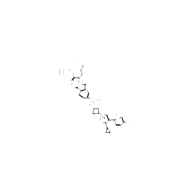 NC(=O)C(CCC=O)N1C(=O)c2ccc(NC[C@H]3C[C@H](n4cc(-c5ccc(Cl)cn5)c(C5CC5)n4)C3)cc2C1=O